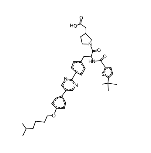 CC(C)CCCCOc1ccc(-c2cnc(-c3ccc(C[C@H](NC(=O)c4ccc(C(C)(C)C)s4)C(=O)N4CC[C@H](CC(=O)O)C4)cc3)nc2)cc1